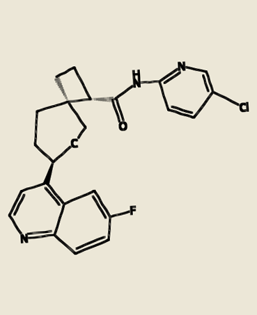 O=C(Nc1ccc(Cl)cn1)[C@H]1CC[C@]12CC[C@H](c1ccnc3ccc(F)cc31)CC2